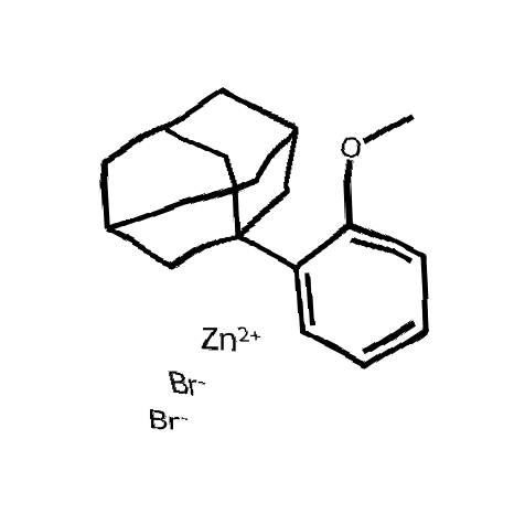 COc1ccccc1C12CC3CC(CC(C3)C1)C2.[Br-].[Br-].[Zn+2]